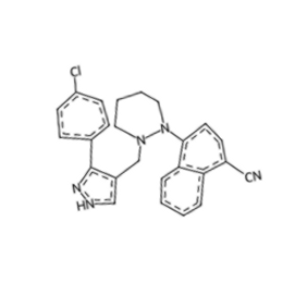 N#Cc1ccc(N2CCCCN2Cc2c[nH]nc2-c2ccc(Cl)cc2)c2ccccc12